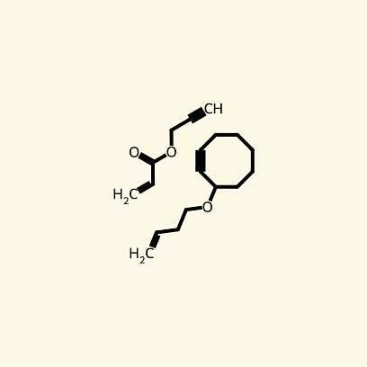 C#CCOC(=O)C=C.C=CCCOC1C#CCCCCC1